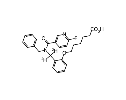 [2H]C([2H])(c1ccccc1OCCCCCC(=O)O)N(Cc1ccccc1)C(=O)c1ccc(F)nc1